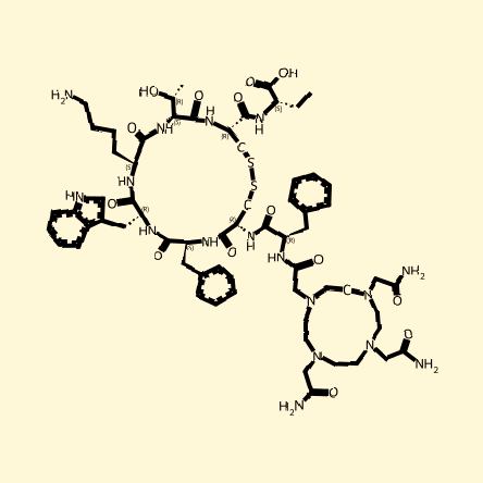 CC[C@H](NC(=O)[C@@H]1CSSC[C@H](NC(=O)[C@@H](Cc2ccccc2)NC(=O)CN2CCN(CC(N)=O)CCN(CC(N)=O)CCN(CC(N)=O)CC2)C(=O)N[C@@H](Cc2ccccc2)C(=O)N[C@H](Cc2c[nH]c3ccccc23)C(=O)N[C@@H](CCCCN)C(=O)N[C@@H]([C@@H](C)O)C(=O)N1)C(=O)O